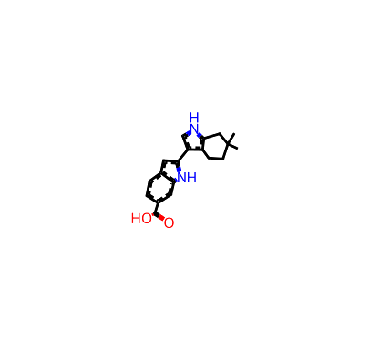 CC1(C)CCc2c(-c3cc4ccc(C(=O)O)cc4[nH]3)c[nH]c2C1